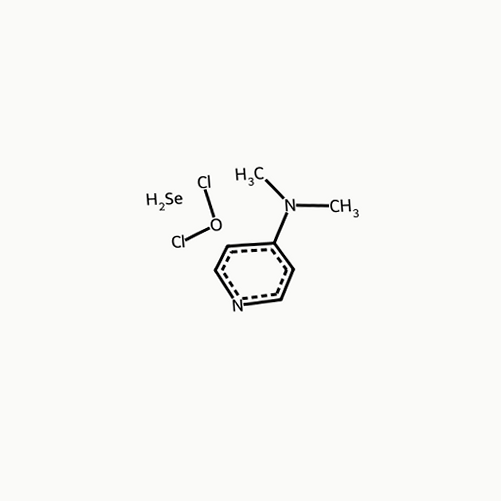 CN(C)c1ccncc1.ClOCl.[SeH2]